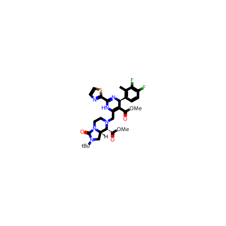 COC(=O)C1=C(CN2CCN3C(=O)N(C(C)(C)C)C[C@@H]3[C@H]2C(=O)OC)NC(c2nccs2)=N[C@H]1c1ccc(F)c(F)c1C